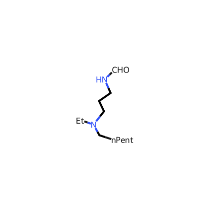 CCCCCCN(CC)CCCNC=O